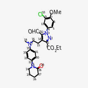 CCOC(=O)c1nn(-c2ccc(OC)c(Cl)c2)c(C=O)c1CCN(C)c1ccc(N2CCCCC2=O)cc1